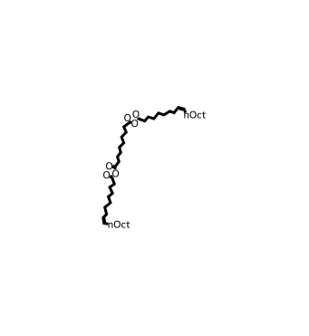 CCCCCCCC/C=C\CCCCCCCC(=O)OC(=O)CCCCCCCCC(=O)OC(=O)CCCCCCC/C=C\CCCCCCCC